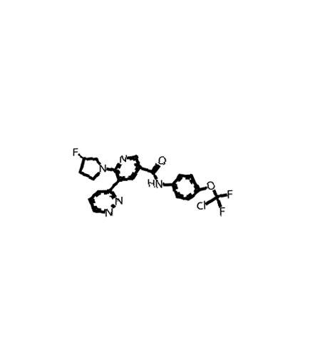 O=C(Nc1ccc(OC(F)(F)Cl)cc1)c1cnc(N2CC[C@@H](F)C2)c(-c2cccnn2)c1